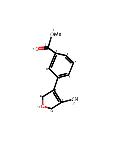 COC(=O)c1cccc(C2=C(C#N)COC2)c1